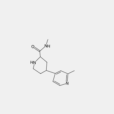 CNC(=O)C1CC(c2ccnc(C)c2)CCN1